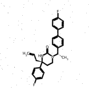 C=CC[C@]1(c2ccc(F)cc2)CCN([C@@H](C)c2ccc(-c3ccc(F)cc3)cc2)C(=O)N1